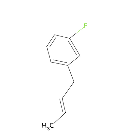 CC=CCc1cccc(F)c1